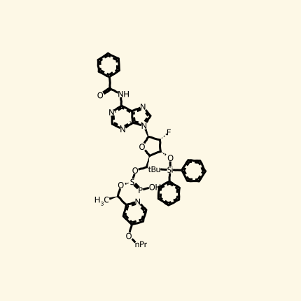 CCCOc1ccnc([C@@H](C)O[S@](OC[C@H]2O[C@@H](n3cnc4c(NC(=O)c5ccccc5)ncnc43)[C@H](F)[C@@H]2O[Si](c2ccccc2)(c2ccccc2)C(C)(C)C)=PO)c1